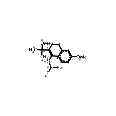 COc1ccc2c(c1)CCC(C(C)(C)OC)=C2OB(F)F